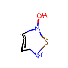 ON1[C]=CNS1